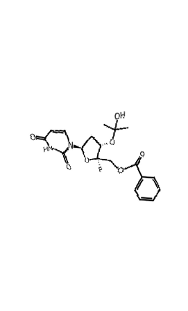 CC(C)(O)O[C@H]1C[C@H](n2ccc(=O)[nH]c2=O)O[C@]1(F)COC(=O)c1ccccc1